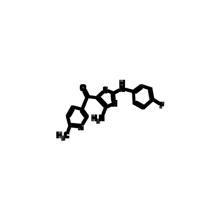 Cc1ccc(C(=O)c2sc(Nc3ccc(F)cc3)nc2N)cn1